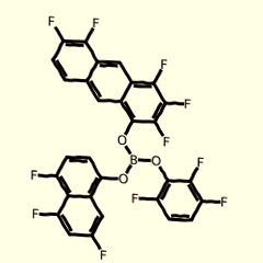 Fc1cc(F)c2c(F)ccc(OB(Oc3c(F)ccc(F)c3F)Oc3c(F)c(F)c(F)c4cc5c(F)c(F)ccc5cc34)c2c1